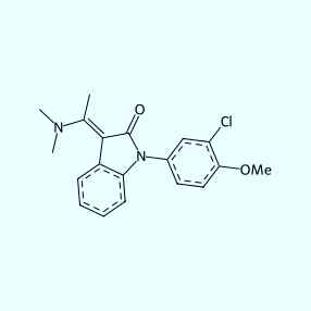 COc1ccc(N2C(=O)/C(=C(\C)N(C)C)c3ccccc32)cc1Cl